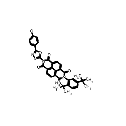 CC(C)(C)c1ccc(C(C)(C)C)c(N2C(=O)c3ccc4c5c(ccc(c35)C2=O)C(=O)N(c2nnc(-c3ccc(Cl)cc3)o2)C4=O)c1